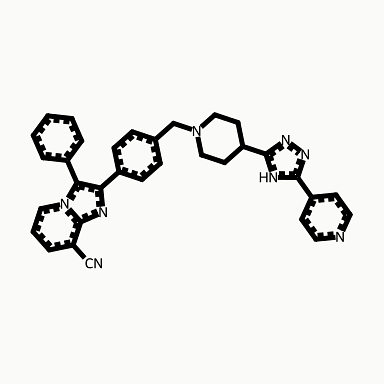 N#Cc1cccn2c(-c3ccccc3)c(-c3ccc(CN4CCC(c5nnc(-c6ccncc6)[nH]5)CC4)cc3)nc12